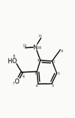 Cc1cccc(C(=O)O)c1N(C)C